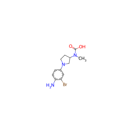 CN(C(=O)O)C1CCN(c2ccc(N)c(Br)c2)C1